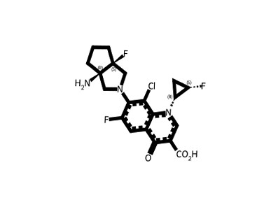 N[C@@]12CCC[C@]1(F)CN(c1c(F)cc3c(=O)c(C(=O)O)cn([C@@H]4C[C@@H]4F)c3c1Cl)C2